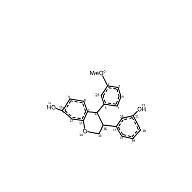 COc1cccc(C2c3ccc(O)cc3OCC2c2cccc(O)c2)c1